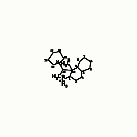 CC1CCC2CCCCC2C1(C)C(C)C1CCCCC1